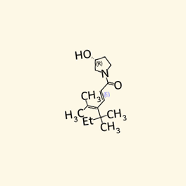 CCC(C)(C)C(/C=C/C(=O)N1CC[C@@H](O)C1)=C(C)C